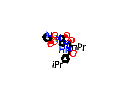 CCCC(NC(=O)c1ccc(C(C)C)cc1)C(=O)N1CCC2C1C(=O)CN2S(=O)(=O)C1=NC=CCC1=O